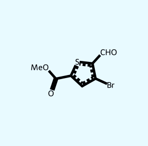 COC(=O)c1cc(Br)c(C=O)s1